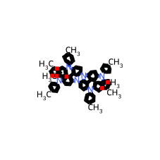 Cc1ccc(N(c2ccc(C)cc2)c2ccc3c(c2)c2c(N(c4ccc(C)cc4)c4ccc(C)cc4)ccc4c2n3c2ccc(N(c3ccc(C)cc3)c3ccc(C)cc3)c3c5cc(N(c6ccc(C)cc6)c6ccc(C)cc6)ccc5n4c32)cc1